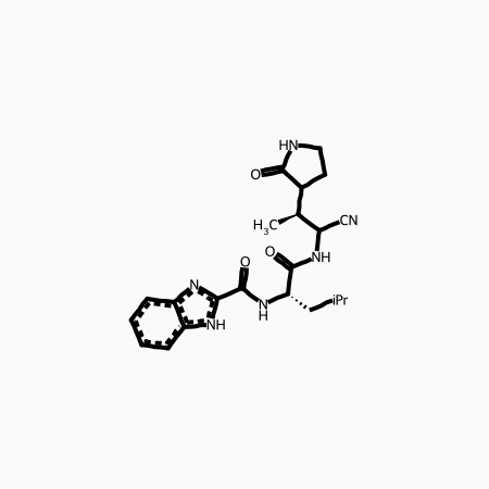 CC(C)C[C@H](NC(=O)c1nc2ccccc2[nH]1)C(=O)NC(C#N)[C@@H](C)C1CCNC1=O